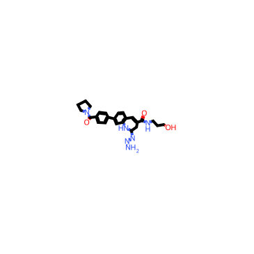 NN=NC1CC(C(=O)NCCCO)=Cc2ccc(-c3ccc(C(=O)N4CCCC4)cc3)cc2N1